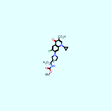 C[C@@H](NC(=O)OC(C)(C)C)[C@@H]1CCN(c2cc3c(cc2F)c(=O)c(C(=O)O)cn3C2CC2)C1